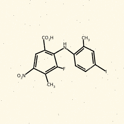 Cc1cc(I)ccc1Nc1c(C(=O)O)cc([N+](=O)[O-])c(C)c1F